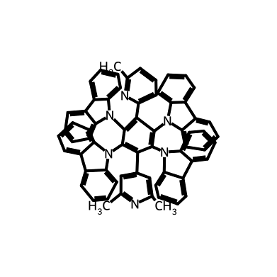 Cc1cc(-c2c(-n3c4ccccc4c4ccccc43)c(-n3c4ccccc4c4ccccc43)c(-c3cccc(C)n3)c(-n3c4ccccc4c4ccccc43)c2-n2c3ccccc3c3ccccc32)cc(C)n1